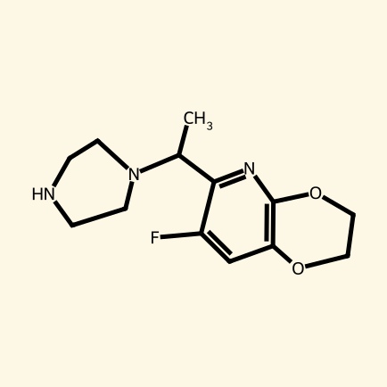 CC(c1nc2c(cc1F)OCCO2)N1CCNCC1